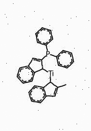 CC1=Cc2ccccc2[CH]1[Ti][CH]1C(P(c2ccccc2)c2ccccc2)=Cc2ccccc21